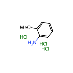 COc1ccccc1N.Cl.Cl.Cl